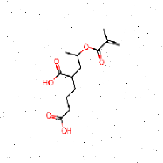 C=C(C)C(=O)OC(C)CC(CCCC(=O)O)C(=O)O